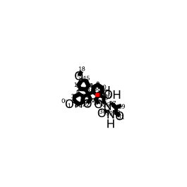 COc1ccc(C(c2ccccc2)(c2ccc(OC)cc2)C(O)[C@H]2O[C@@H](n3cc(C)c(=O)[nH]c3=O)[C@H](O)[C@@H]2O)cc1